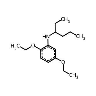 CCCC(CC)Nc1cc(OCC)ccc1OCC